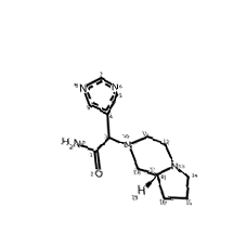 NC(=O)C(c1cncnc1)N1CCN2CCC[C@@H]2C1